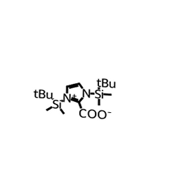 CC(C)(C)[Si](C)(C)n1cc[n+]([Si](C)(C)C(C)(C)C)c1C(=O)[O-]